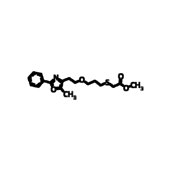 COC(=O)CSCCCOCCc1nc(-c2ccccc2)oc1C